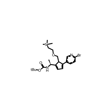 C[C@H](NC(=O)OC(C)(C)C)C1=CC=C(c2ccc(Br)nc2)C1COCC[Si](C)(C)C